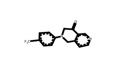 O=C1CN(c2ccc(C(F)(F)F)cc2)Cc2ccncc21